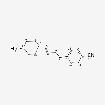 C[C@H]1CC[C@H](/C=C/CCc2ccc(C#N)cc2)CC1